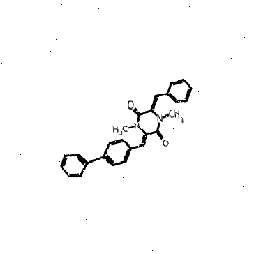 Cn1c(=O)/c(=C/c2ccc(-c3ccccc3)cc2)n(C)c(=O)/c1=C/c1ccccc1